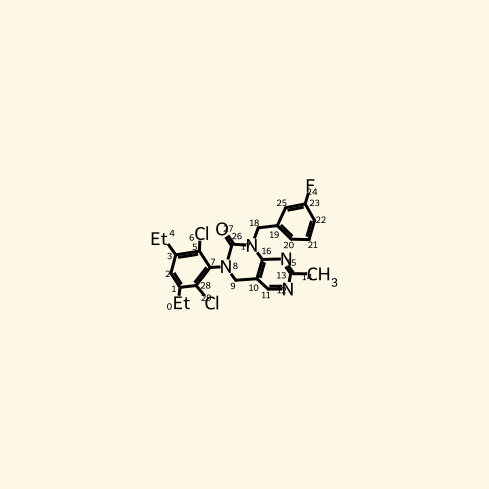 CCc1cc(CC)c(Cl)c(N2Cc3cnc(C)nc3N(Cc3cccc(F)c3)C2=O)c1Cl